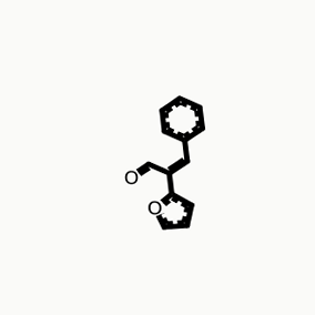 O=CC(=Cc1ccccc1)c1ccco1